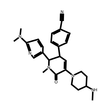 CNC1CCN(C2=CC(c3ccc(C#N)cc3)C(c3ccc(N(C)C)nc3)N(C)C2=O)CC1